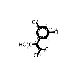 O=C(O)C(=C(Cl)Cl)c1cc(Cl)cc(Cl)c1